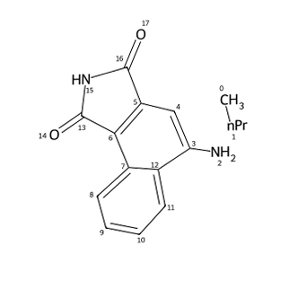 CCCC.Nc1cc2c(c3ccccc13)C(=O)NC2=O